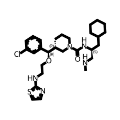 CNC[C@H](CC1CCCCC1)NC(=O)N1CCC[C@@H]([C@@H](OCCNc2nccs2)c2cccc(Cl)c2)C1